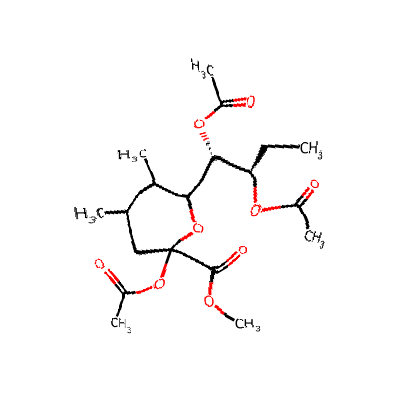 CC[C@@H](OC(C)=O)[C@@H](OC(C)=O)C1OC(OC(C)=O)(C(=O)OC)CC(C)C1C